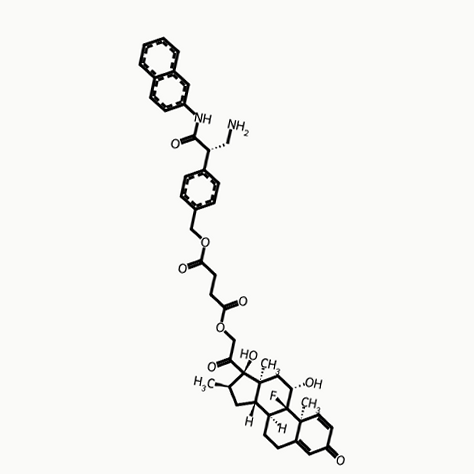 C[C@@H]1C[C@H]2[C@@H]3CCC4=CC(=O)C=C[C@]4(C)[C@@]3(F)[C@@H](O)C[C@]2(C)[C@@]1(O)C(=O)COC(=O)CCC(=O)OCc1ccc([C@@H](CN)C(=O)Nc2ccc3ccccc3c2)cc1